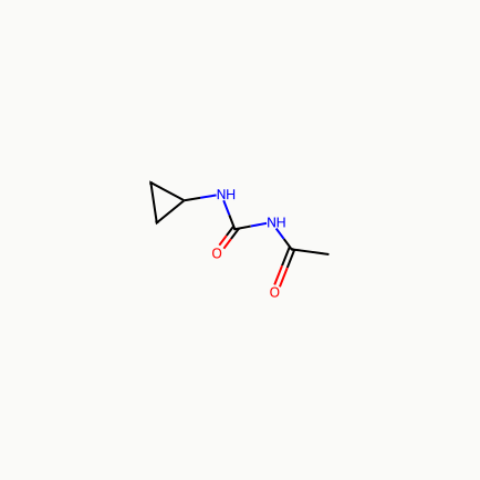 CC(=O)NC(=O)NC1CC1